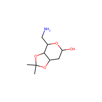 CC1(C)OC2CC(O)OC(CN)C2O1